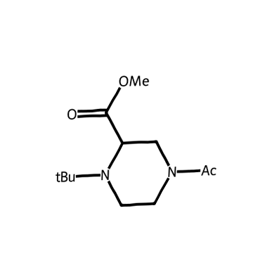 COC(=O)C1CN(C(C)=O)CCN1C(C)(C)C